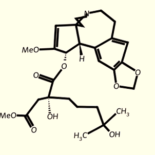 COC(=O)C[C@](O)(CCCC(C)(C)O)C(=O)O[C@@H]1C(OC)=CC23CCCN2CCc2cc4c(cc2[C@H]13)OCO4